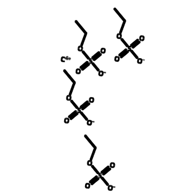 CCOS(=O)(=O)[O-].CCOS(=O)(=O)[O-].CCOS(=O)(=O)[O-].CCOS(=O)(=O)[O-].[C+4]